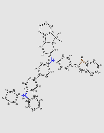 CC1(C)c2ccccc2C2C=CC(N(c3ccc(-c4ccc5c(c4)c4ccccc4n5-c4ccccc4)cc3)c3ccc(-c4cc5ccccc5s4)cc3)=CC21